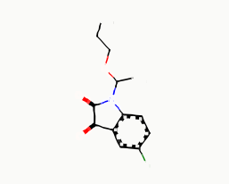 CCCOC(C)N1C(=O)C(=O)c2cc(Br)ccc21